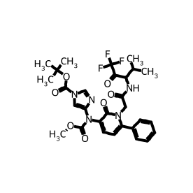 COC(=O)N(c1cn(C(=O)OC(C)(C)C)cn1)c1ccc(-c2ccccc2)n(CC(=O)NC(C(=O)C(F)(F)F)C(C)C)c1=O